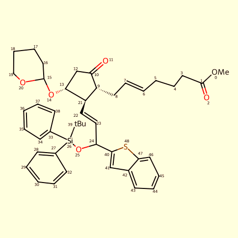 COC(=O)CCCC=CC[C@H]1C(=O)C[C@@H](OC2CCCCO2)[C@@H]1C=CC(O[Si](c1ccccc1)(c1ccccc1)C(C)(C)C)c1cc2ccccc2s1